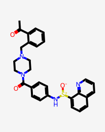 CC(=O)c1ccccc1CN1CCN(C(=O)c2ccc(N[S+]([O-])c3cccc4cccnc34)cc2)CC1